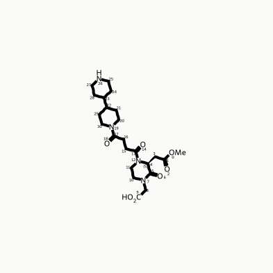 COC(=O)C[C@H]1C(=O)N(CC(=O)O)CCN1C(=O)CCC(=O)N1CCC(C2CCNCC2)CC1